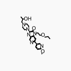 CCCOCCn1c(=O)c(N2CCN(CC(C)O)CC2)nc2cnc(-c3ccc(OC)nc3)cc21